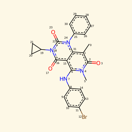 Cc1c(=O)n(C)c(Nc2ccc(Br)cc2)c2c(=O)n(C3CC3)c(=O)n(-c3ccccc3)c12